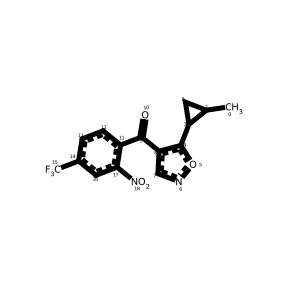 CC1CC1c1oncc1C(=O)c1ccc(C(F)(F)F)cc1[N+](=O)[O-]